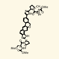 COC[C@H](NC(=O)OC)C(=O)N1[C@@H](I)CC[C@H]1c1nc2ccc3cc4c(cc3c2[nH]1)OCc1cc(-c2cnc(C3CC[C@H](C)N3C(=O)[C@@H](NC(=O)OC)C(C)C)[nH]2)ccc1-4